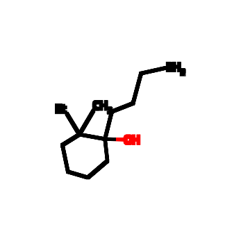 BCCCC1(O)CCCCC1(C)CC